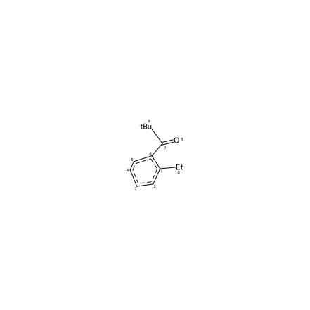 CCc1ccccc1C(=O)C(C)(C)C